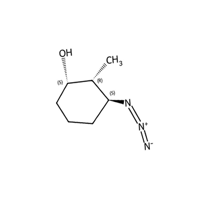 C[C@@H]1[C@@H](N=[N+]=[N-])CCC[C@@H]1O